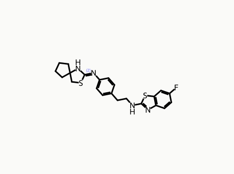 Fc1ccc2nc(NCCc3ccc(/N=C4/NC5(CCCC5)CS4)cc3)sc2c1